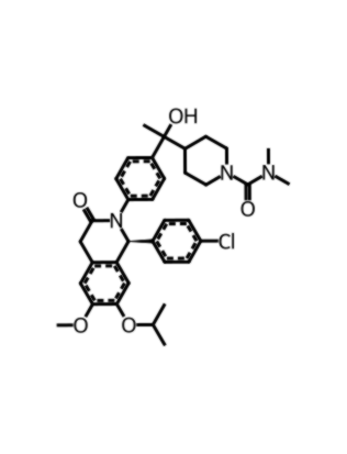 COc1cc2c(cc1OC(C)C)[C@H](c1ccc(Cl)cc1)N(c1ccc(C(C)(O)C3CCN(C(=O)N(C)C)CC3)cc1)C(=O)C2